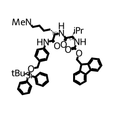 CNCCCC[C@H](NC(=O)[C@@H](NC(=O)OCC1c2ccccc2-c2ccccc21)C(C)C)C(=O)Nc1ccc(CO[Si](c2ccccc2)(c2ccccc2)C(C)(C)C)cc1